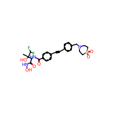 CC(O)(C(F)F)C(NC(=O)c1ccc(C#Cc2ccc(CN3CCS(=O)(=O)CC3)cc2)cc1)C(=O)NO